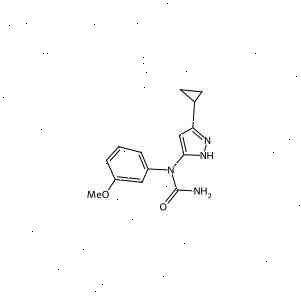 COc1cccc(N(C(N)=O)c2cc(C3CC3)n[nH]2)c1